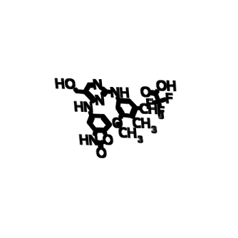 COc1cc(Nc2ncc(CO)c(Nc3ccc4oc(=O)[nH]c4c3)n2)cc(C)c1C.O=C(O)C(F)(F)F